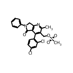 Cc1nc2c(c(-c3ccc(Cl)cc3Cl)c1COS(C)(=O)=O)C(=O)N(c1ccccc1)C2